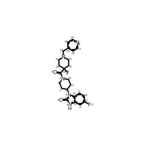 O=C(N1CCC(n2c(=O)[nH]c3cc(F)ccc32)CC1)C1(F)CCN(Cc2ccncc2)CC1